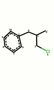 [CH2]C(CCl)Cc1ccccc1